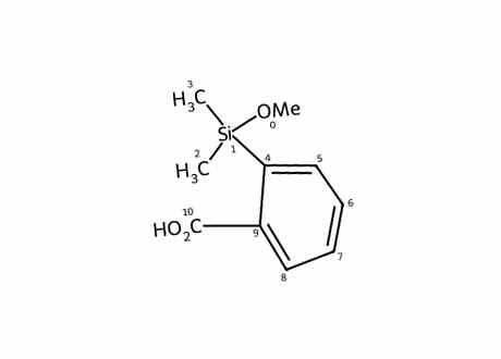 CO[Si](C)(C)c1ccccc1C(=O)O